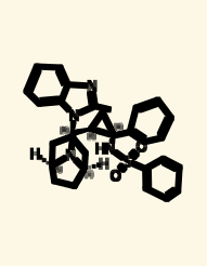 Cc1nc2ccccc2n1[C@H]1C[C@H]2CC[C@@H](C1)N2C[C@H]1C[C@]1(NS(=O)(=O)c1ccccc1)c1ccccc1